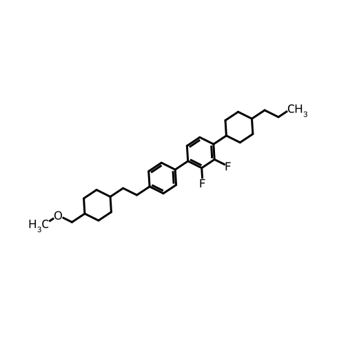 CCCC1CCC(c2ccc(-c3ccc(CCC4CCC(COC)CC4)cc3)c(F)c2F)CC1